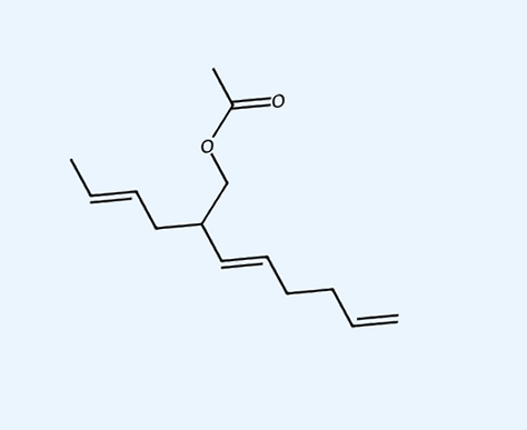 C=CCCC=CC(CC=CC)COC(C)=O